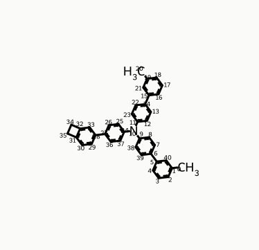 Cc1cccc(-c2ccc(N(c3ccc(-c4cccc(C)c4)cc3)c3ccc(-c4ccc5c(c4)CC5)cc3)cc2)c1